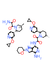 C[C@H]1CC[C@H](c2ccnc(OC3CC3)c2)N(C(=O)C(=O)Nc2cnc(N)c3cn(C4CCCCO4)nc23)C1.C[C@H]1CC[C@H](c2ccnc(OC3CC3)c2)N(C(=O)C(N)=O)C1